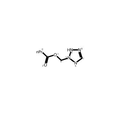 CCCC(=O)OCN1[N]C=NN1